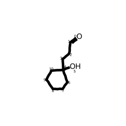 O=CCCC1(O)CCCCC1